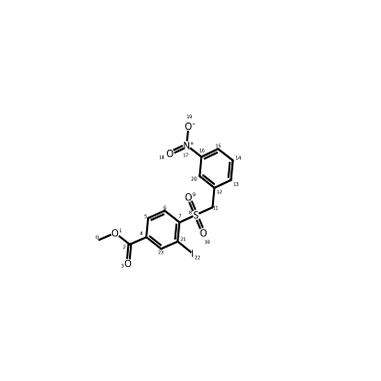 COC(=O)c1ccc(S(=O)(=O)Cc2cccc([N+](=O)[O-])c2)c(I)c1